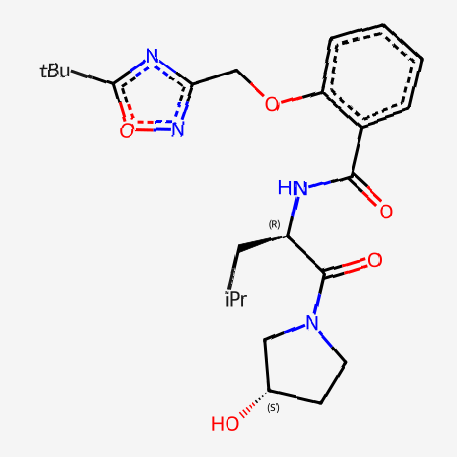 CC(C)C[C@@H](NC(=O)c1ccccc1OCc1noc(C(C)(C)C)n1)C(=O)N1CC[C@H](O)C1